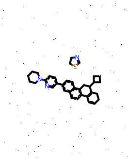 C1=CC2=C(CC1)C(C1CCC1)Cc1c2ccc2cc(-c3ccc(N4CCCCC4)nc3)ccc12.C1=NCCS1